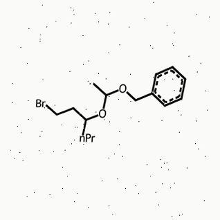 [CH2]C(OCc1ccccc1)OC(CCC)CCBr